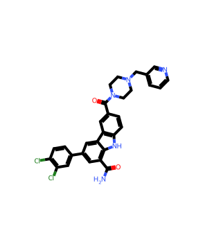 NC(=O)c1cc(-c2ccc(Cl)c(Cl)c2)cc2c1[nH]c1ccc(C(=O)N3CCN(Cc4cccnc4)CC3)cc12